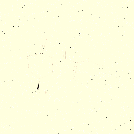 CCOC(=O)[C@H]1CCC(=O)[C@H](NC(=O)OC(C)(C)C)C1